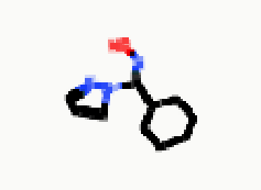 O/N=C(/C1CCCCC1)n1cccn1